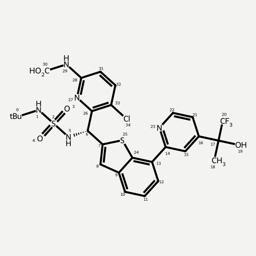 CC(C)(C)NS(=O)(=O)N[C@@H](c1cc2cccc(-c3cc(C(C)(O)C(F)(F)F)ccn3)c2s1)c1nc(NC(=O)O)ccc1Cl